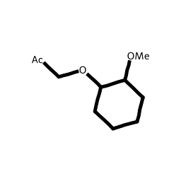 COC1CCCCC1OCC(C)=O